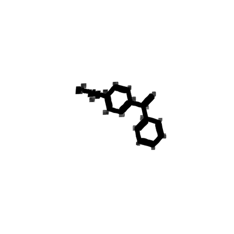 C=C(c1ccccc1)c1cc[c]([Mg][Br])cc1